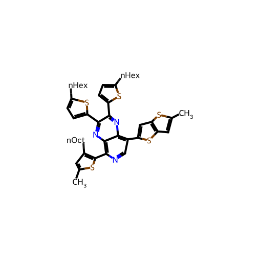 CCCCCCCCc1cc(C)sc1-c1ncc(-c2cc3sc(C)cc3s2)c2nc(-c3ccc(CCCCCC)s3)c(-c3ccc(CCCCCC)s3)nc12